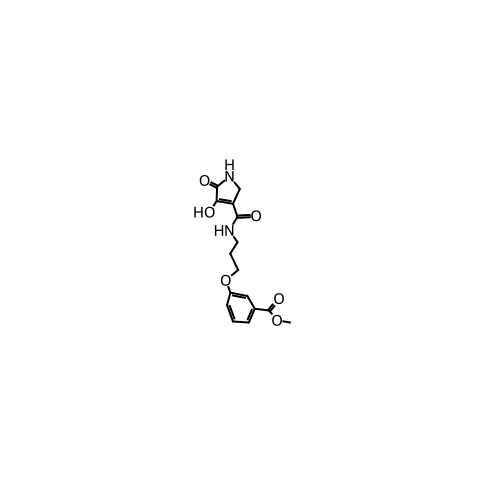 COC(=O)c1cccc(OCCCNC(=O)C2=C(O)C(=O)NC2)c1